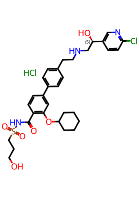 Cl.O=C(NS(=O)(=O)CCCO)c1ccc(-c2ccc(CCNC[C@@H](O)c3ccc(Cl)nc3)cc2)cc1OC1CCCCC1